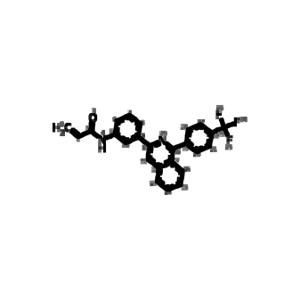 C=CC(=O)Nc1cccc(-c2cc3ccccc3c(-c3ccc(C(F)(F)F)cc3)n2)c1